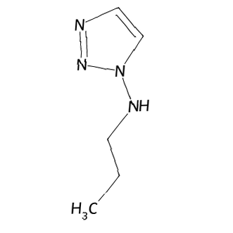 CCCNn1ccnn1